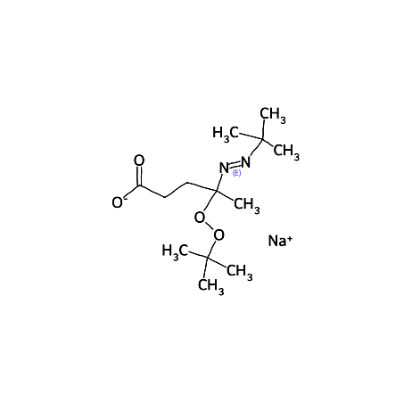 CC(C)(C)/N=N/C(C)(CCC(=O)[O-])OOC(C)(C)C.[Na+]